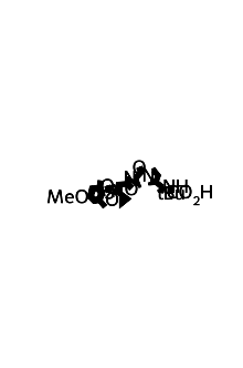 COc1cc(C)c(S(=O)(=O)N(Cc2nc(C(=O)N3CCC(C(NC(=O)O)C(C)(C)C)C3)co2)C2CC2)c(C)c1